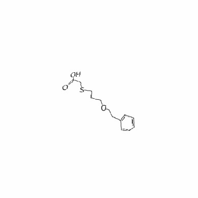 O=C(O)CSCCCOCCc1ccccc1